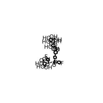 O=C(O)C1C[C@@H](O[C@@H](CC[C@H]2C(=O)N(c3ccc(F)cc3)[C@@H]2c2ccc(-c3ccc(S(=O)(=O)C[C@@H]4OC(CO)[C@@H](O[C@@H]5OC(CO)[C@@H](O)[C@H](O)C5O)[C@H](O)C4O)cc3)cc2)c2ccc(F)cc2)C(O)[C@@H](O)[C@@H]1O